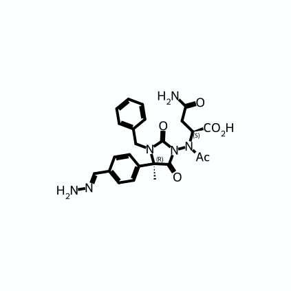 CC(=O)N([C@@H](CC(N)=O)C(=O)O)N1C(=O)N(Cc2ccccc2)[C@](C)(c2ccc(C=NN)cc2)C1=O